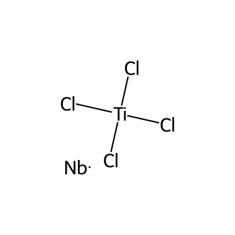 [Cl][Ti]([Cl])([Cl])[Cl].[Nb]